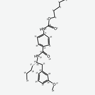 CCCCCOC(=O)Nc1ccc(C(=O)N[C@@H](CCCC)Cc2cccc(OC)c2)cc1